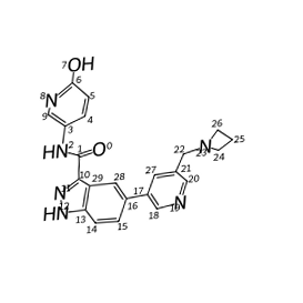 O=C(Nc1ccc(O)nc1)c1n[nH]c2ccc(-c3cncc(CN4CCC4)c3)cc12